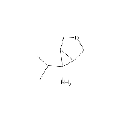 CC(C)C1(N)C2COCC21